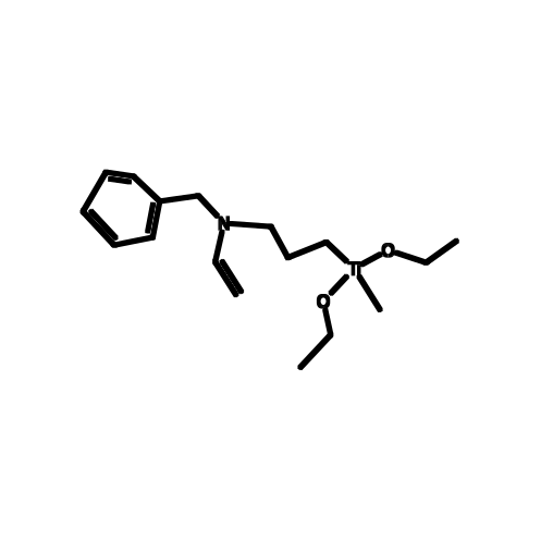 C=CN(CC[CH2][Ti]([CH3])([O]CC)[O]CC)Cc1ccccc1